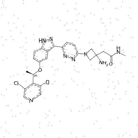 CNC(=O)CC1(N)CN(c2ccc(-c3n[nH]c4ccc(O[C@H](C)c5c(Cl)cncc5Cl)cc34)nn2)C1